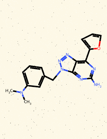 CN(C)c1cccc(Cn2nnc3c(-c4ccco4)nc(N)nc32)c1